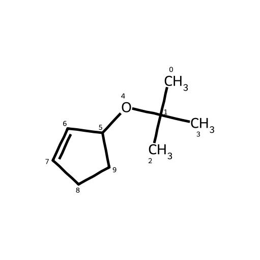 CC(C)(C)OC1C=CCC1